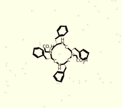 O=C(O)CN1C[C@H](Cc2ccccc2)NC[C@H](Cc2ccccc2)N(CC(=O)O)C[C@H](Cc2ccccc2)NC[C@@H]1Cc1ccccc1